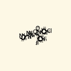 O=C1O[C@@H](Cn2nnc(-c3cccnc3)n2)[C@H](c2cc(F)cc(F)c2)N1c1ccc(Cl)cc1